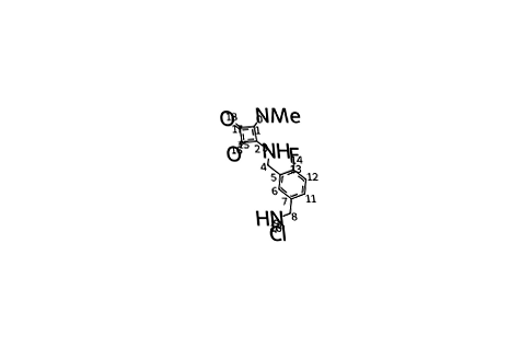 CNc1c(NCc2cc(CNCl)ccc2F)c(=O)c1=O